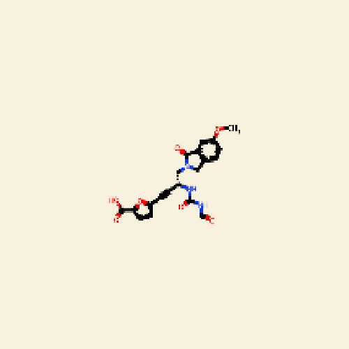 COc1ccc2c(c1)C(=O)N(C[C@@H](C#Cc1ccc(C(=O)O)o1)NC(=O)NC=O)C2